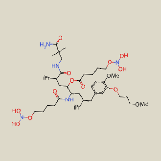 COCCCOc1cc(CC(CC(NC(=O)CCCCON(O)O)C(CC(C(=O)NCC(C)(C)C(N)=O)C(C)C)OC(=O)CCCCON(O)O)C(C)C)ccc1OC